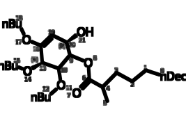 CCCCCCCCCCCCCC(C)C(=O)OC1C(OCCCC)[C@@H](OCCCC)C(OCCCC)=C[C@H]1O